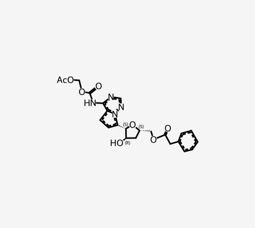 CC(=O)OCOC(=O)Nc1ncnn2c([C@@H]3O[C@H](COC(=O)Cc4ccccc4)C[C@H]3O)ccc12